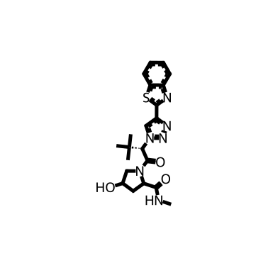 CNC(=O)C1CC(O)CN1C(=O)[C@@H](n1cc(-c2nc3ccccc3s2)nn1)C(C)(C)C